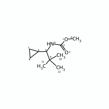 COC(=O)NC(C1CC1)C(C)(C)C